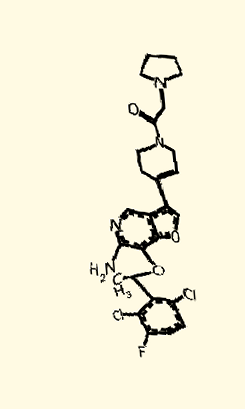 C[C@@H](Oc1c(N)ncc2c(C3=CCN(C(=O)CN4CCCC4)CC3)coc12)c1c(Cl)ccc(F)c1Cl